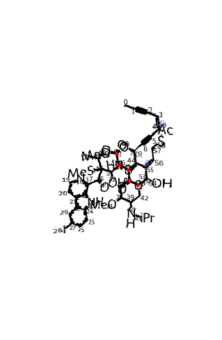 CC#C/C=C\C#C[C@H](OC1OC(C)C(SC)(C(=O)c2nccc3c2[nH]c2ccc(I)cc23)C(O)C1OC1CC(OC)C(NC(C)C)CO1)C1=C(NC(=O)OC)C(=O)C[C@H](O)/C1=C/CSC(C)=O